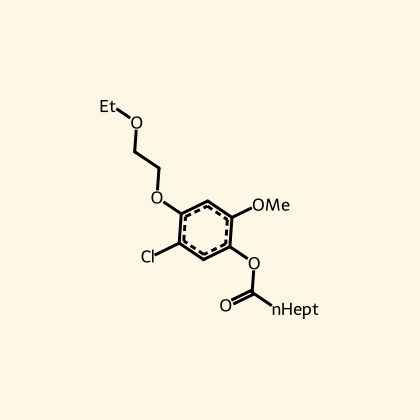 CCCCCCCC(=O)Oc1cc(Cl)c(OCCOCC)cc1OC